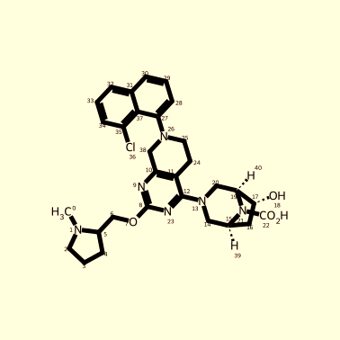 CN1CCCC1COc1nc2c(c(N3C[C@@H]4C[C@@H](O)[C@H](C3)N4C(=O)O)n1)CCN(c1cccc3cccc(Cl)c13)C2